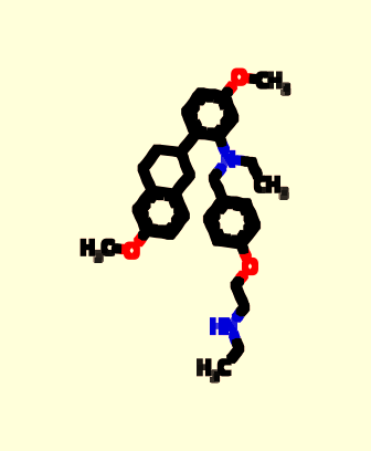 CCNCCOc1ccc(CN(CC)c2cc(OC)ccc2C2CCc3cc(OC)ccc3C2)cc1